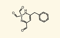 O=CC1=NS(C=O)(C=O)NC(Cc2ccccc2)=C1